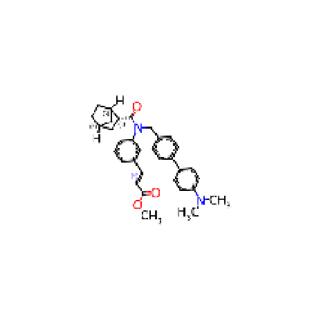 COC(=O)/C=C/c1cccc(N(Cc2ccc(-c3ccc(N(C)C)cc3)cc2)C(=O)[C@@H]2C[C@@H]3CC[C@H]2C3)c1